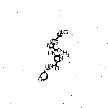 Cc1ncc(C(=O)NCCN2CCCOCC2)cc1NC(=O)c1cnn2cc(-c3cnn(C)c3)sc12